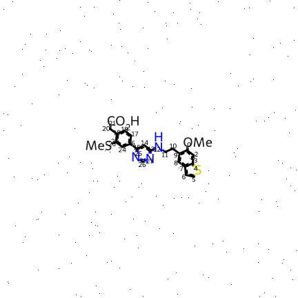 COc1cc2sccc2cc1CCNc1cc(-c2ccc(CC(=O)O)c(SC)c2)ncn1